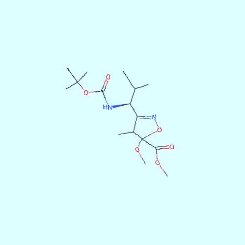 COC(=O)C1(OC)ON=C([C@@H](NC(=O)OC(C)(C)C)C(C)C)C1C